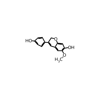 COc1cc2c(cc1O)OCC(c1ccc(O)cc1)=C2